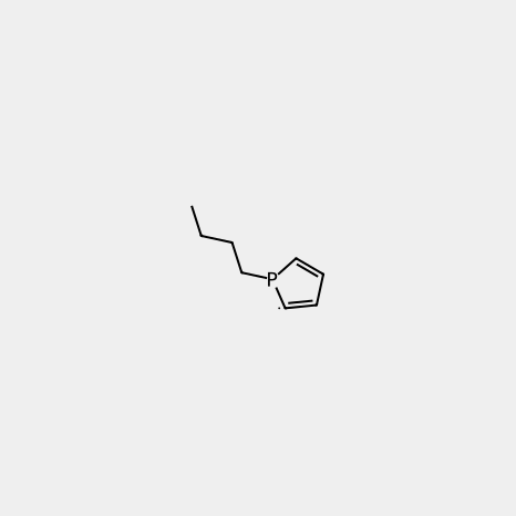 CCCCp1[c]ccc1